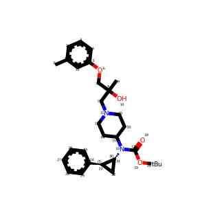 Cc1cccc(OCC(C)(O)CN2CCC(N(C(=O)OC(C)(C)C)[C@@H]3C[C@H]3c3ccccc3)CC2)c1